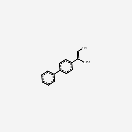 COC(=CC#N)c1ccc(-c2ccccc2)cc1